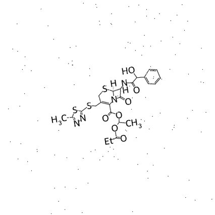 CCC(=O)OC(C)OC(=O)C1=C(CSc2nnc(C)s2)CS[C@H]2C(NC(=O)C(O)c3ccccc3)C(=O)N12